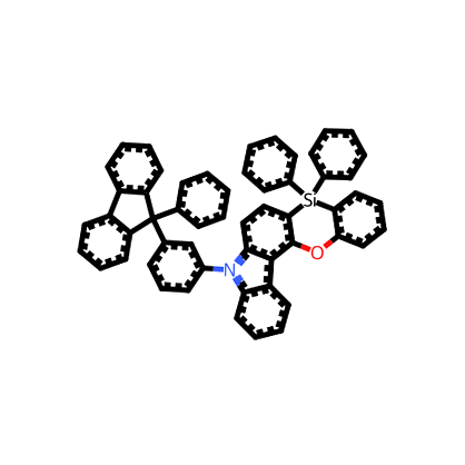 c1ccc(C2(c3cccc(-n4c5ccccc5c5c6c(ccc54)[Si](c4ccccc4)(c4ccccc4)c4ccccc4O6)c3)c3ccccc3-c3ccccc32)cc1